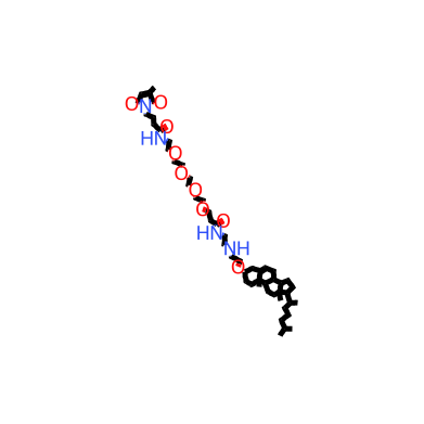 CC1=CC(=O)N(CCCC(=O)NCCOCCOCCOCCOCCC(=O)NCCNCCOC2CCC3(C)C(=CCC4C3CCC3(C)C(C(C)CCCC(C)C)CCC43)C2)C1=O